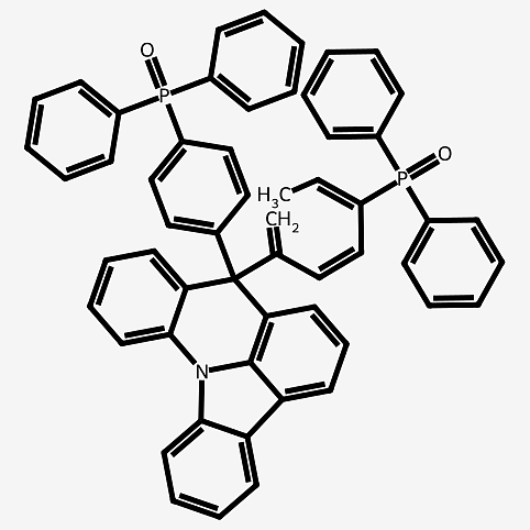 C=C(/C=C\C(=C/C)P(=O)(c1ccccc1)c1ccccc1)C1(c2ccc(P(=O)(c3ccccc3)c3ccccc3)cc2)c2ccccc2-n2c3ccccc3c3cccc1c32